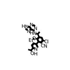 CCOc1c(C(C)Nc2ncnc3[nH]cnc23)cc(Cl)c(C#N)c1-c1ccc(C(C)O)nc1